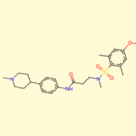 COc1cc(C)c(S(=O)(=O)N(C)CCC(=O)Nc2ccc(C3CCN(C)CC3)cc2)c(C)c1